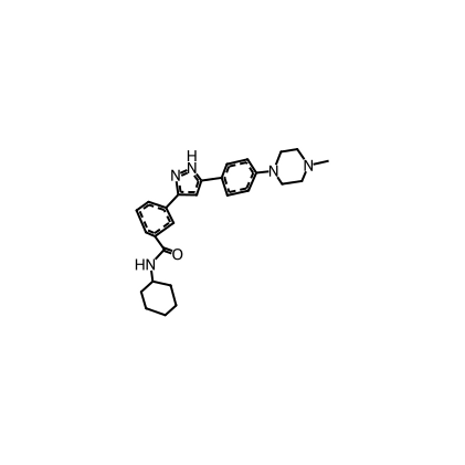 CN1CCN(c2ccc(-c3cc(-c4cccc(C(=O)NC5CCCCC5)c4)n[nH]3)cc2)CC1